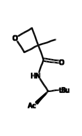 CC(=O)[C@@H](NC(=O)C1(C)COC1)C(C)(C)C